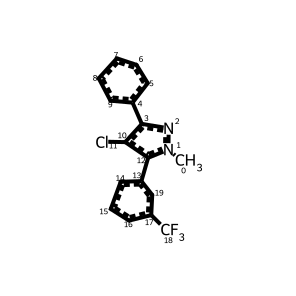 Cn1nc(-c2ccccc2)c(Cl)c1-c1cccc(C(F)(F)F)c1